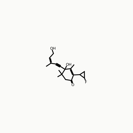 CC1=C(C2CC2F)C(=O)CC(C)(C)C1(O)C#C/C(C)=C\CO